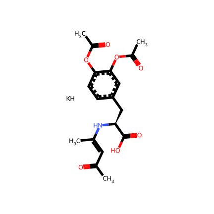 CC(=O)C=C(C)N[C@@H](Cc1ccc(OC(C)=O)c(OC(C)=O)c1)C(=O)O.[KH]